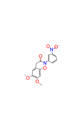 COc1cc2c(cc1OC)ON(c1cccc([N+](=O)[O-])c1)C(=O)C2